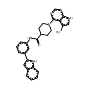 Cc1c[nH]c2ncnc(N3CCC(C(=O)Nc4cccc(-c5cc6ccccc6[nH]5)c4)CC3)c12